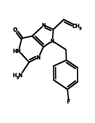 C=Cc1nc2c(=O)[nH]c(N)nc2n1Cc1ccc(F)cc1